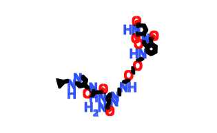 NC(=O)c1nn(CCNCCOCCOCCNc2cccc3c2C(=O)N(C2CCC(=O)NC2=O)C3=O)cc1NC(=O)c1coc(-c2ccnc(NCC3CC3)c2)n1